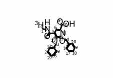 [3H]CNC(=O)c1cc(C(=O)O)nc(OCc2ccccc2)c1OCc1ccccc1